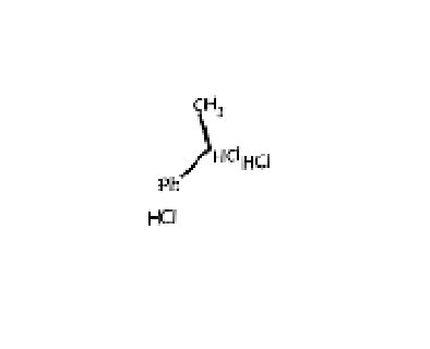 C[CH2][Pb].Cl.Cl.Cl